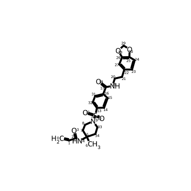 C=CC(=O)NC1(C)CCN(S(=O)(=O)c2ccc(C(=O)NCCc3ccc4c(c3)OCO4)cc2)CC1